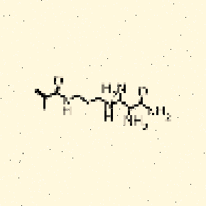 C=C(C)C(=O)NCCCNC(N)C(N)C(N)=O